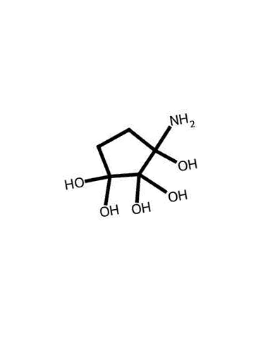 NC1(O)CCC(O)(O)C1(O)O